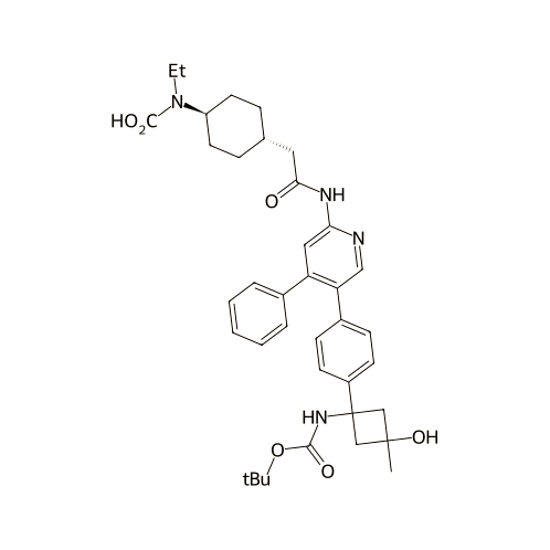 CCN(C(=O)O)[C@H]1CC[C@H](CC(=O)Nc2cc(-c3ccccc3)c(-c3ccc(C4(NC(=O)OC(C)(C)C)CC(C)(O)C4)cc3)cn2)CC1